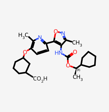 Cc1nc(-c2onc(C)c2NC(=O)O[C@H](C)C2CCCCC2)ccc1OC1CCCC(C(=O)O)C1